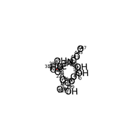 CC[C@H]1OC(=O)[C@H](C)[C@@H](O[C@H]2C[C@@](C)(OC)[C@@H](O)[C@H](C)O2)[C@H](C)[C@@H](O[C@H]2C[C@H](O)C[C@@H](C)O2)[C@](C)(O)C[C@@H](C)C(=NOCOCCOC)[C@H](C)[C@@H](O)[C@]1(C)O